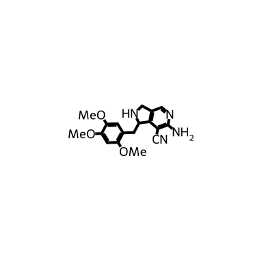 COc1cc(OC)c(OC)cc1CC1NCc2cnc(N)c(C#N)c21